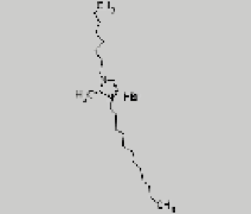 Br.CCCCCCCCCCCCN1C=CN(CCCCCCCC)C1C